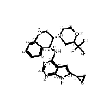 FC(F)(F)C1CN([C@H]2COc3ccccc3[C@@H]2Nc2ncnc3[nH]c(C4CC4)cc23)CCO1